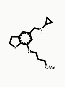 COCCCOc1cc(CNC2CC2)cc2c1SCC2